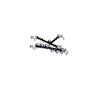 CC(C)=CCC/C(C)=C/CC/C(C)=C/CC/C=C(\C)CC/C=C(\C)CCC=C(C)C.CCCCCCCCCCCC(=O)OC(CCCCCC)CCCCCCCCC